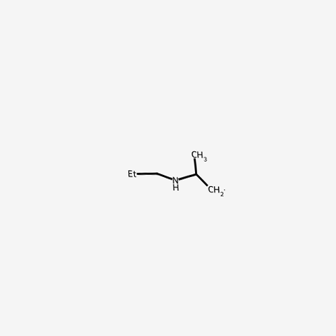 [CH2]C(C)NCCC